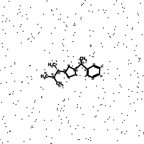 C[C@H]([C@@H]1CCN([C@@H](C)c2ccccc2)C1)N(C)C